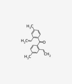 C=Cc1cc(C)ccc1C(=O)c1ccc(C)cc1C=C